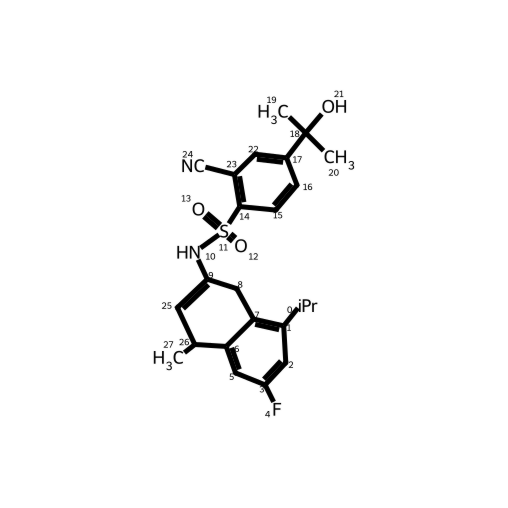 CC(C)c1cc(F)cc2c1CC(NS(=O)(=O)c1ccc(C(C)(C)O)cc1C#N)=CC2C